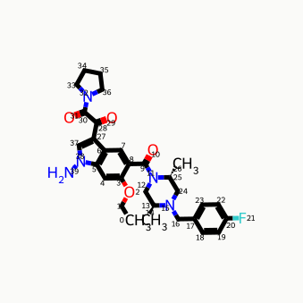 CCOc1cc2c(cc1C(=O)N1C[C@H](C)N(Cc3ccc(F)cc3)C[C@H]1C)c(C(=O)C(=O)N1CCCC1)cn2N